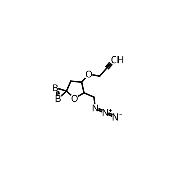 C#CCOC1CC2(B=B2)OC1CN=[N+]=[N-]